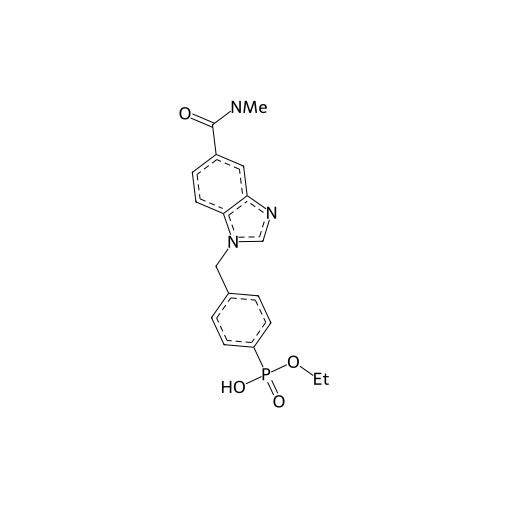 CCOP(=O)(O)c1ccc(Cn2cnc3cc(C(=O)NC)ccc32)cc1